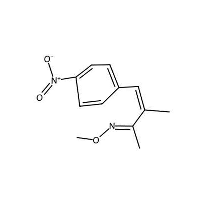 CON=C(C)C(C)=Cc1ccc([N+](=O)[O-])cc1